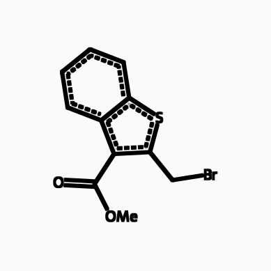 COC(=O)c1c(CBr)sc2ccccc12